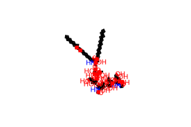 CCCCCCCCCCCCC/C=C/[C@@H](O)[C@H](CO[C@@H]1OC(CO)[C@@H](O[C@@H]2OC(CO)[C@H](O)[C@H](O[C@@H]3OC(CO)[C@@H](O[C@@H]4OC(CO)[C@H](O)[C@H](O[C@@H]5OC(CO)[C@H](O)[C@H](O)C5NC(C)=O)C4O)[C@H](O)C3NC(C)=O)C2O)[C@H](O)C1O)NC(=O)CCCCCCCCCCCCCCCCC